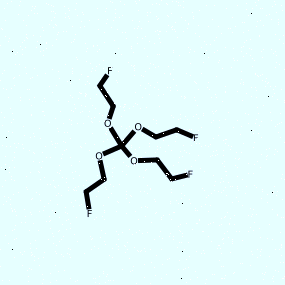 FCCOC(OCCF)(OCCF)OCCF